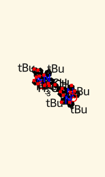 CC(C)(C)c1ccc2c(c1)-c1c3c(c4ccc5cc(C(C)(C)C)cc6ccc1c4c65)N(c1ccccc1C(C)(C)C)c1oc4ccccc4c1B3N2c1ccc(C(C)(C)C(C)(C)c2cc3ccc4c5c6c(c7ccc(c2)c3c47)N(c2ccccc2C(C)(C)C)c2c(oc3ccccc23)B6n2c3ccc(C(C)(C)C)cc3c3cc(C(C)(C)C)cc-5c32)cc1